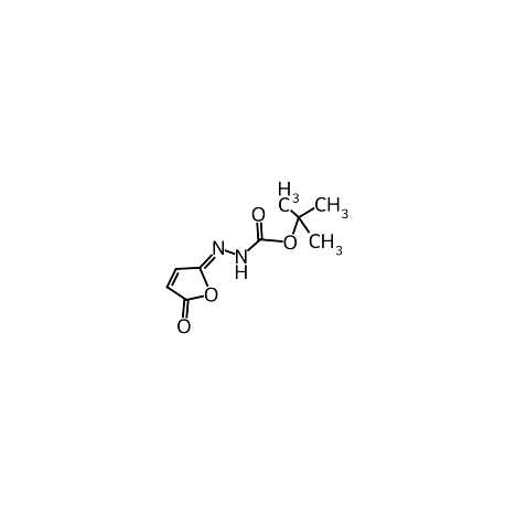 CC(C)(C)OC(=O)N/N=C1/C=CC(=O)O1